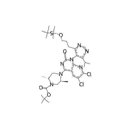 CC(C)c1ncnc(CCCO[Si](C)(C)C(C)(C)C)c1-n1c(=O)nc(N2C[C@@H](C)N(C(=O)OC(C)(C)C)C[C@@H]2C)c2cc(Cl)c(Cl)nc21